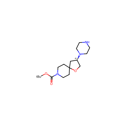 CC(C)(C)OC(=O)N1CCC2(CC1)C[C@@H](N1CCNCC1)CO2